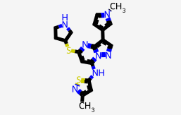 Cc1cc(Nc2cc(SC3CCNC3)nc3c(-c4ccn(C)c4)cnn23)sn1